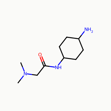 CN(C)CC(=O)NC1CCC(N)CC1